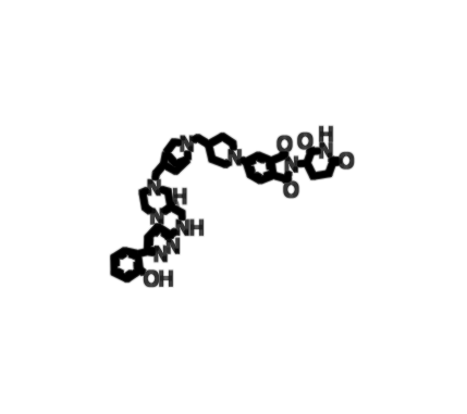 O=C1CCC(N2C(=O)c3ccc(N4CCC(CN5CC6CC5CC6CN5CCN6c7cc(-c8ccccc8O)nnc7NC[C@H]6C5)CC4)cc3C2=O)C(=O)N1